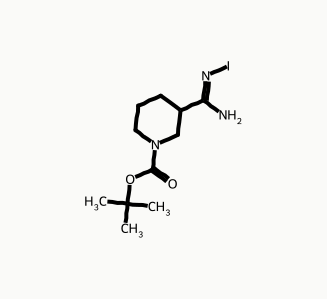 CC(C)(C)OC(=O)N1CCCC(/C(N)=N/I)C1